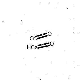 [O]=[Cr].[O]=[GaH]